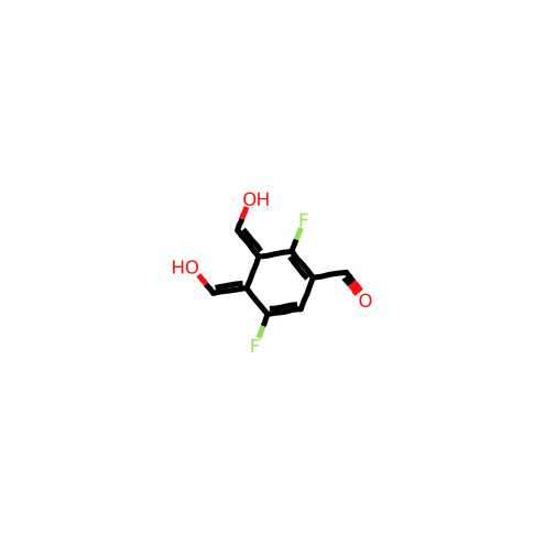 O=Cc1cc(F)c(=CO)c(=CO)c1F